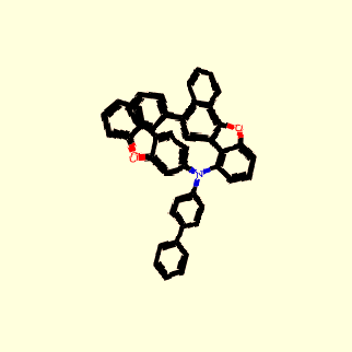 c1ccc(-c2ccc(N(c3ccc4c(c3)oc3ccccc34)c3cccc4oc5c6ccccc6c(-c6ccccc6)cc5c34)cc2)cc1